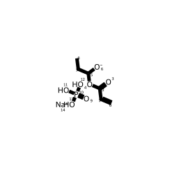 C=CC(=O)OC([O-])CC.O=P(O)(O)O.[Na+]